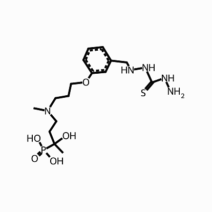 CN(CCCOc1cccc(CNNC(=S)NN)c1)CCC(C)(O)P(=O)(O)O